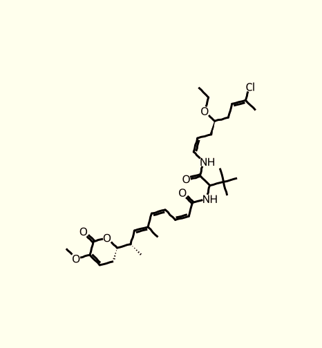 CCO[C@H](C/C=C\NC(=O)C(NC(=O)\C=C/C=C\C(C)=C\[C@H](C)[C@@H]1CC=C(OC)C(=O)O1)C(C)(C)C)C/C=C(\C)Cl